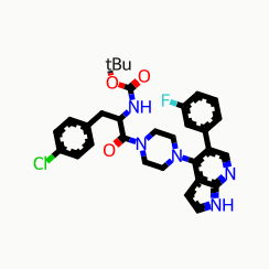 CC(C)(C)OC(=O)NC(Cc1ccc(Cl)cc1)C(=O)N1CCN(c2c(-c3cccc(F)c3)cnc3[nH]ccc23)CC1